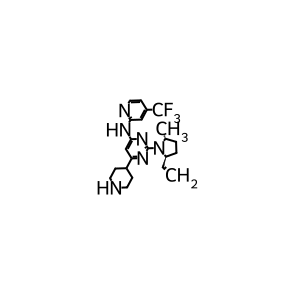 C=C[C@@H]1CC[C@@H](C)N1c1nc(Nc2cc(C(F)(F)F)ccn2)cc(C2CCNCC2)n1